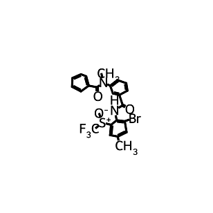 Cc1cc(Br)c(NC(=O)c2cccc(N(C)C(=O)c3ccccc3)c2)c([S+]([O-])C(F)(F)F)c1